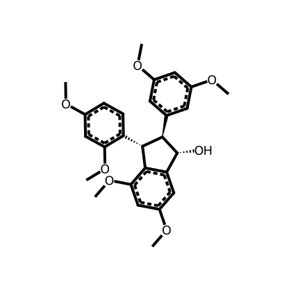 COc1cc(OC)cc([C@@H]2[C@@H](c3ccc(OC)cc3OC)c3c(OC)cc(OC)cc3[C@H]2O)c1